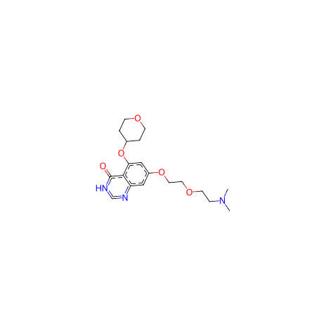 CN(C)CCOCCOc1cc(OC2CCOCC2)c2c(=O)[nH]cnc2c1